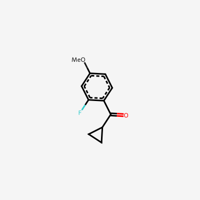 COc1ccc(C(=O)C2CC2)c(F)c1